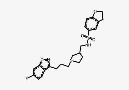 O=S(=O)(NCC1CCN(CCCc2noc3cc(F)ccc23)C1)c1ccc2c(c1)CCO2